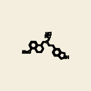 COc1cccc2c1CCCC2CN(C)CCc1ccc2c(c1)CNC2.Cl.Cl